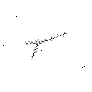 CCCCCCCCCCCCCCCCCN1C=CN(CCCCCC)C1CCCCCCCCC